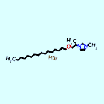 Br.CCCCCCCCCCCCCCCCOCC(C)N1C=CN(C)C1